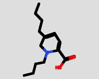 CCCCC1=CC=C(C(=O)O)N(CCCC)C1